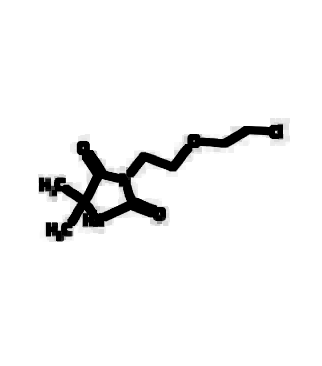 CC1(C)NC(=O)N(CCOCCCl)C1=O